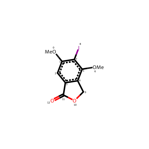 COc1cc2c(c(OC)c1I)COC2=O